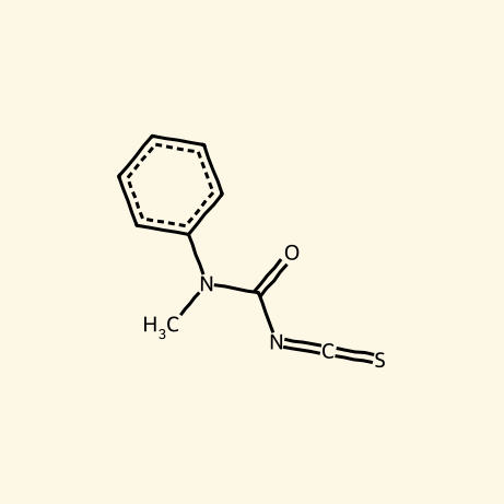 CN(C(=O)N=C=S)c1ccccc1